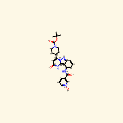 CC(C)(C)OC(=O)N1CCC(c2cc(=O)[nH]c3c4c(NC(=O)c5ccc[n+]([O-])c5)cccc4nn23)CC1